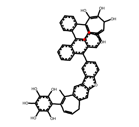 CC1=C(c2c(O)c(O)c(O)c(O)c2O)C=CCc2cc3oc4ccc(-c5c6ccccc6c(-c6ccccc6C6=C(O)C(O)=CC(O)C(O)=C6O)c6ccccc56)cc4c3cc21